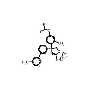 Cc1cncc(-c2cccc(C3(c4ccc(OC(F)F)cc4C)COC(N)=N3)c2)c1.O=CO